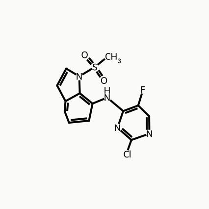 CS(=O)(=O)n1ccc2cccc(Nc3nc(Cl)ncc3F)c21